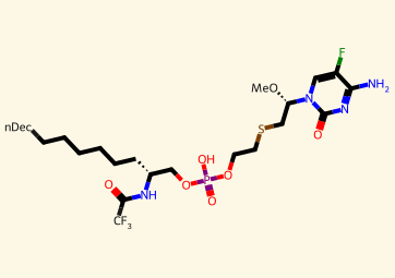 CCCCCCCCCCCCCCCC[C@H](COP(=O)(O)OCCSC[C@H](OC)n1cc(F)c(N)nc1=O)NC(=O)C(F)(F)F